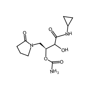 NC(=O)O[C@@H](CN1CCCC1=O)C(O)C(=O)NC1CC1